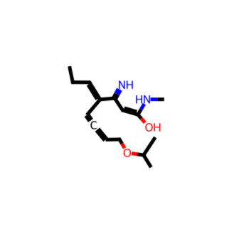 CC/C=C(\C=C=CCOC(C)C)C(=N)/C=C(/O)NC